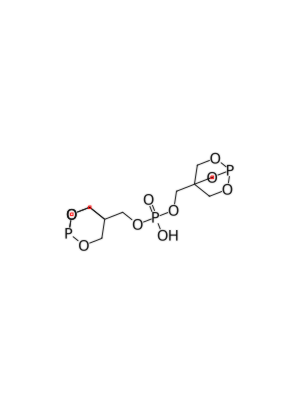 O=P(O)(OCC12COP(OC1)OC2)OCC12COP(OC1)OC2